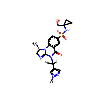 [2H]C([2H])(c1cnn(C)c1)N1C(=O)c2cc(S(=O)(=O)NC3(CO)CC3)ccc2N2C1=NC[C@H]2C